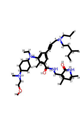 CCCN(CC#Cc1cc(C(=O)NCc2c(C)cc(C)[nH]c2=O)c(C)c(N(CC)C2CCC(N(C)CCOC)CC2)c1)CCC(C)CC